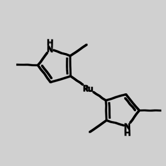 Cc1c[c]([Ru][c]2cc(C)[nH]c2C)c(C)[nH]1